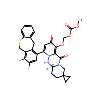 COC(=O)OCOc1c2n(c(-c3cc(F)c(F)c4c3Cc3ccccc3SC4)cc1=O)N[C@@H]1CCC3(CC3)CN1C2=O